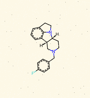 Fc1ccc(CN2CC[C@@H]3[C@H](C2)c2cccc4c2N3CC4)cc1